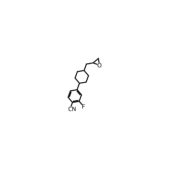 N#Cc1ccc(C2CCC(CC3CO3)CC2)cc1F